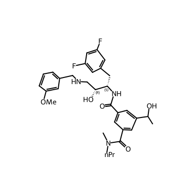 CCCN(C)C(=O)c1cc(C(=O)N[C@@H](Cc2cc(F)cc(F)c2)[C@H](O)CNCc2cccc(OC)c2)cc(C(C)O)c1